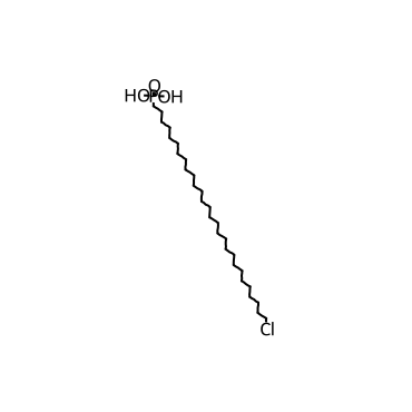 O=P(O)(O)CCCCCCCCCCCCCCCCCCCCCCCCCCCCCl